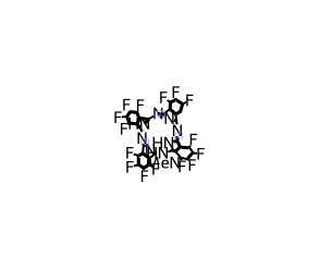 CNC1(F)C(F)=C(F)C(F)=c2c1c1[nH]/c2=N\C2=NC(=N\c3[nH]c(c4c(F)c(F)c(F)c(F)c34)/N=C3\N=C(N1)c1c(F)c(F)c(F)c(F)c13)/c1c2cc(F)c(F)c1F